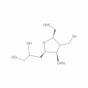 CO[C@@H]1C(CS)[C@H](CC=O)O[C@@H]1CC(O)CO